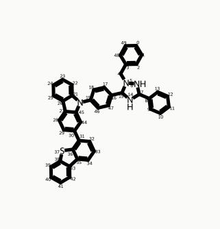 c1ccc(CN2NC(c3ccccc3)NC2c2ccc(-n3c4ccccc4c4ccc(-c5cccc6c5sc5ccccc56)cc43)cc2)cc1